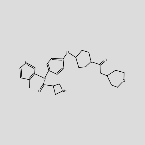 Cc1ccncc1N(C(=O)C1CNC1)c1ccc(OC2CCN(C(=O)CC3CCOCC3)CC2)cc1